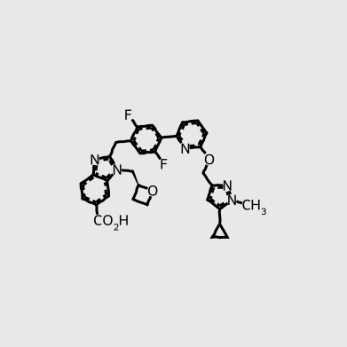 Cn1nc(COc2cccc(-c3cc(F)c(Cc4nc5ccc(C(=O)O)cc5n4C[C@@H]4CCO4)cc3F)n2)cc1C1CC1